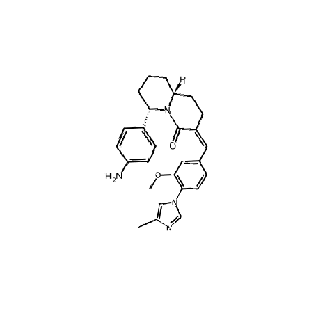 COc1cc(C=C2CC[C@H]3CCC[C@@H](c4ccc(N)cc4)N3C2=O)ccc1-n1cnc(C)c1